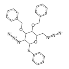 [N-]=[N+]=NCC1OC(Sc2ccccc2)C(N=[N+]=[N-])C(OCc2ccccc2)C1OCc1ccccc1